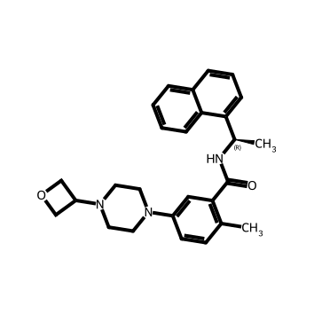 Cc1ccc(N2CCN(C3COC3)CC2)cc1C(=O)N[C@H](C)c1cccc2ccccc12